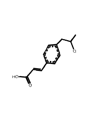 CC(Cl)Cc1ccc(C=CC(=O)O)cc1